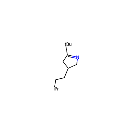 CC(C)CCC1CN=C(C(C)(C)C)C1